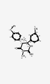 CC(C)Sc1ccc([C@H]2C(=O)N(C)C(=N)N[C@]2(C)c2cccc(C#N)c2)cc1